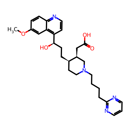 COc1ccc2nccc([C@H](O)CC[C@@H]3CCN(CCCCc4ncccn4)C[C@@H]3CC(=O)O)c2c1